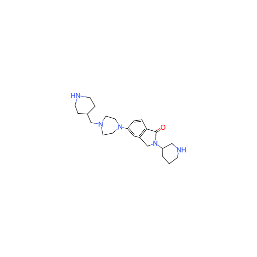 O=C1c2ccc(N3CCN(CC4CCNCC4)CC3)cc2CN1C1CCCNC1